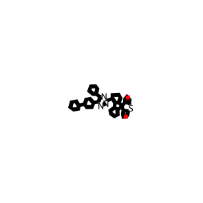 c1ccc(-c2ccc(-c3nnc(-c4cccc5c4-c4ccccc4C54c5ccccc5Sc5ccccc54)nc3-c3ccccc3)cc2)cc1